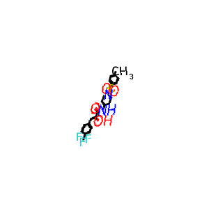 Cc1ccc(S(=O)(=O)N2CCC(NC(=O)C(O)Cc3ccc(C(F)(F)F)cc3)CC2)cc1